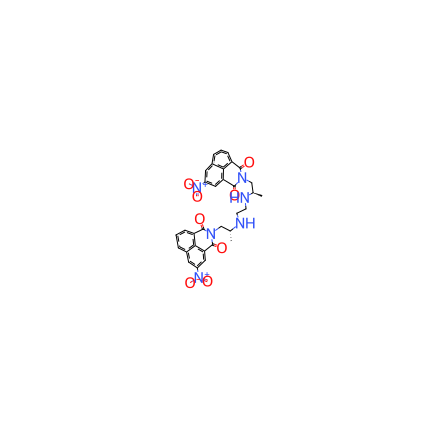 C[C@H](CN1C(=O)c2cccc3cc([N+](=O)[O-])cc(c23)C1=O)NCCN[C@H](C)CN1C(=O)c2cccc3cc([N+](=O)[O-])cc(c23)C1=O